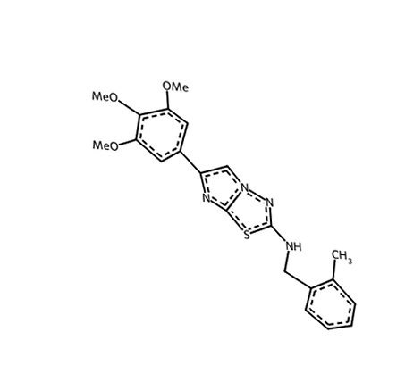 COc1cc(-c2cn3nc(NCc4ccccc4C)sc3n2)cc(OC)c1OC